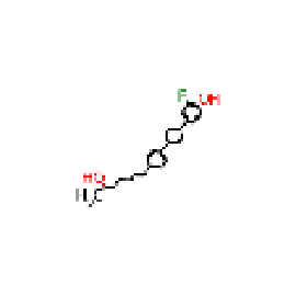 CC(O)CCC/C=C/c1ccc(-c2ccc(-c3ccc(O)c(F)c3)cc2)cc1